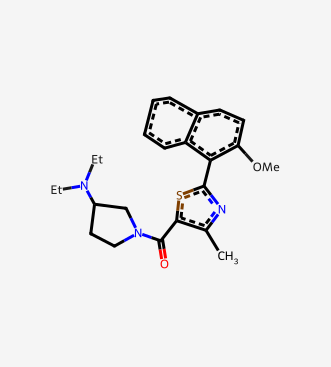 CCN(CC)C1CCN(C(=O)c2sc(-c3c(OC)ccc4ccccc34)nc2C)C1